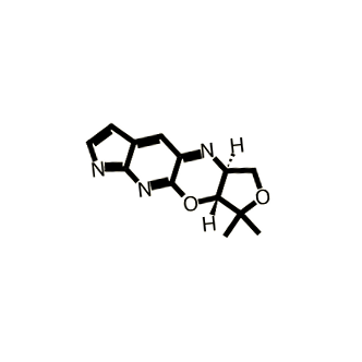 CC1(C)OC[C@@H]2N=c3cc4c(nc3O[C@H]21)=NC=C4